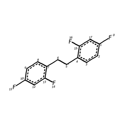 Fc1ccc([CH]Cc2ccc(F)cc2F)c(F)c1